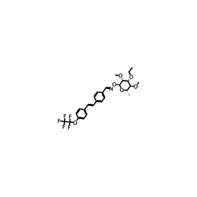 CCO[C@@H]1[C@@H](OC)[C@H](C)O[C@@H](ON=Cc2ccc(/C=C/c3ccc(OC(F)(F)C(F)(F)F)cc3)cc2)[C@@H]1OC